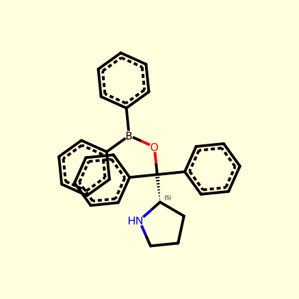 c1ccc(B(OC(c2ccccc2)(c2ccccc2)[C@@H]2CCCN2)c2ccccc2)cc1